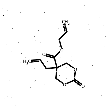 C=CCOC(=O)C1(CC=C)COC(=O)OC1